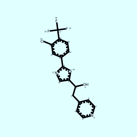 OC(Cc1ccncc1)c1cnc(-c2ccc(C(F)(F)F)c(Cl)c2)s1